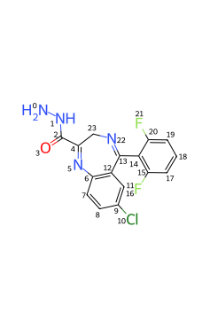 NNC(=O)C1=Nc2ccc(Cl)cc2C(c2c(F)cccc2F)=NC1